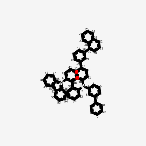 c1ccc(-c2cccc(N(c3ccc(-c4cccc(-c5cccc6ccccc56)c4)cc3)c3ccccc3-c3ccccc3-n3c4ccccc4c4ccccc43)c2)cc1